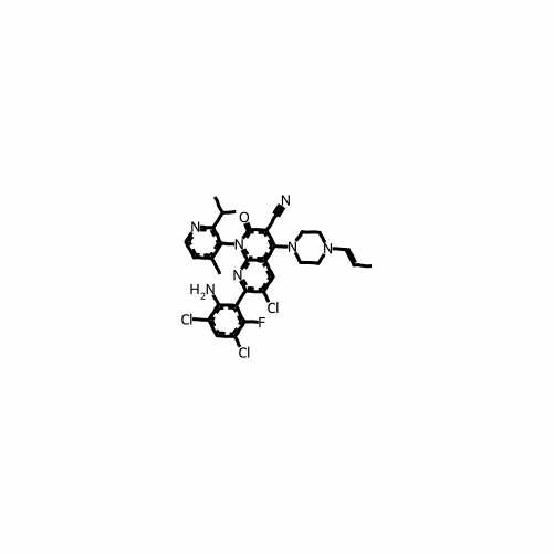 CC=CN1CCN(c2c(C#N)c(=O)n(-c3c(C)ccnc3C(C)C)c3nc(-c4c(N)c(Cl)cc(Cl)c4F)c(Cl)cc23)CC1